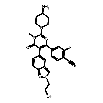 Cn1c(N2CCC(N)CC2)nc(-c2ccc(C#N)c(F)c2)c(-c2ccc3nn(CCO)cc3c2)c1=O